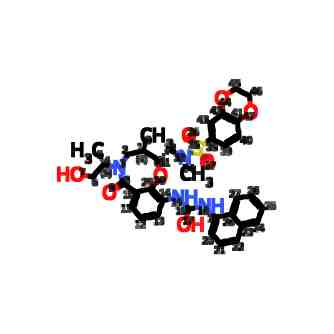 C[C@@H]1CN([C@@H](C)CO)C(=O)c2cccc(NC(O)Nc3cccc4ccccc34)c2O[C@H]1CN(C)S(=O)(=O)c1ccc2c(c1)OCCO2